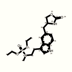 CCOP(=O)(OCC)N(C)CCc1c[nH]c2ccc(CC3COC(=O)N3)cc12